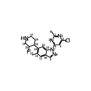 Cc1nc(Cl)cc(-n2ncc3cc(C)c(C4CCNCC4F)cc32)n1